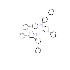 c1ccc(-c2ccc3[nH]c4c(-c5cc(-n6c7ccc(-c8ccccc8)cc7c7cc(-c8ccccc8)ccc76)ccc5-c5ccccc5)cc(-c5ccccc5)cc4c3c2)cc1